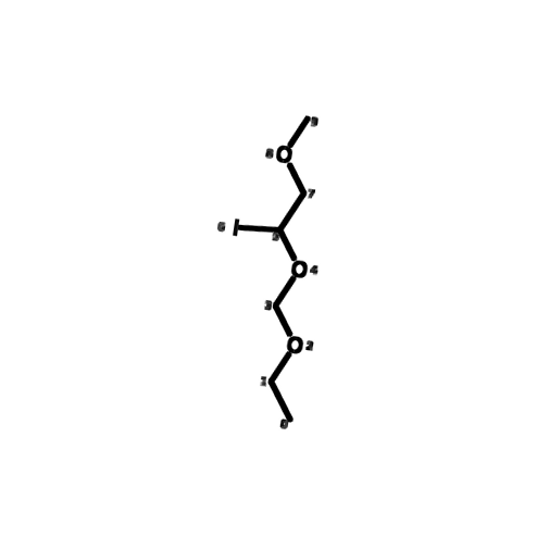 CCOCOC(I)COC